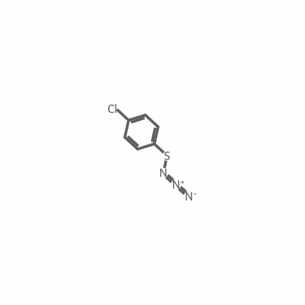 [N-]=[N+]=NSc1ccc(Cl)cc1